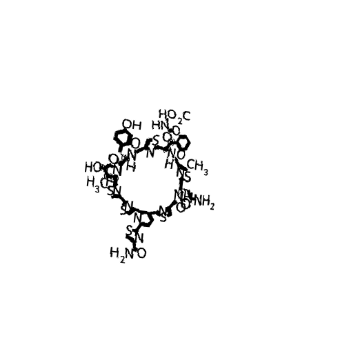 Cc1sc2nc1C(=O)N[C@@H]([C@H](OC(=O)NCC(=O)O)c1ccccc1)c1nc(cs1)C(=O)N[C@@H](Cc1ccc(O)cc1)C(=O)N1C[C@H](O)[C@H](C)[C@H]1c1nc(cs1)-c1nc(cs1)-c1nc(-c3nc(C(N)=O)cs3)ccc1-c1nc(cs1)C(=O)N[C@H]2CC(N)=O